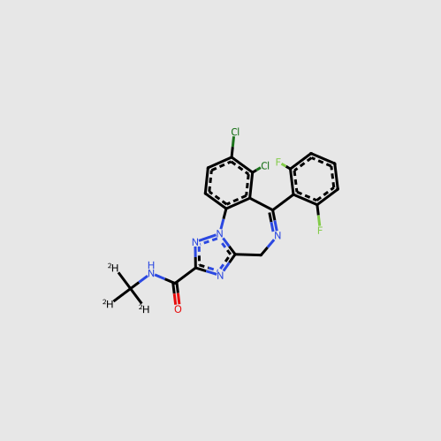 [2H]C([2H])([2H])NC(=O)c1nc2n(n1)-c1ccc(Cl)c(Cl)c1C(c1c(F)cccc1F)=NC2